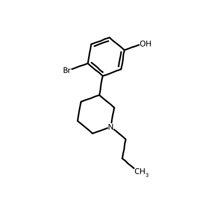 CCCN1CCCC(c2cc(O)ccc2Br)C1